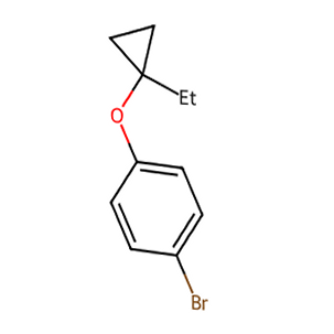 CCC1(Oc2ccc(Br)cc2)CC1